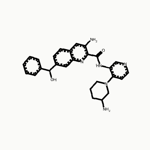 Nc1cc2ccc(C(O)c3ccccc3)cc2nc1C(=O)Nc1cnccc1N1CCCC(N)C1